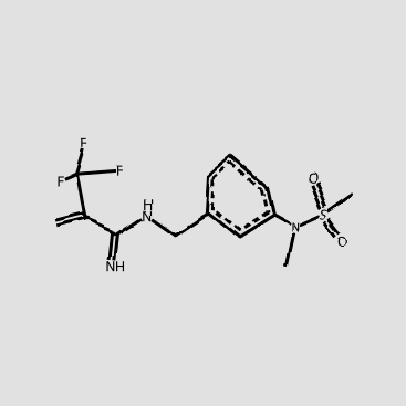 C=C(C(=N)NCc1cccc(N(C)S(C)(=O)=O)c1)C(F)(F)F